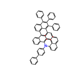 c1ccc(-c2ccc(N(c3cccc4ccccc34)c3ccc(-c4cccc5c(-c6ccccc6)c(-c6ccccc6)c(-c6ccccc6)c(-c6ccccc6)c45)c4ccccc34)cc2)cc1